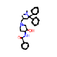 CC(CN1CCC(NC(=O)c2ccccc2)C(O)C1)CC(c1ccccc1)(c1ccccc1)N(C)C